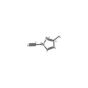 C#Cn1ccc(C)n1